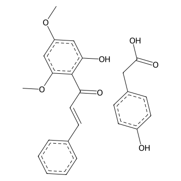 COc1cc(O)c(C(=O)C=Cc2ccccc2)c(OC)c1.O=C(O)Cc1ccc(O)cc1